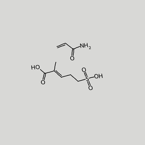 C/C(=C\CCS(=O)(=O)O)C(=O)O.C=CC(N)=O